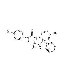 O=C1N(c2ccc(Br)cc2)CC(O)(c2cc3ccccc3s2)N1c1ccc(Br)cc1